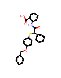 O=C(O)c1ccccc1NC(=O)C(Sc1ccc(OCc2ccccc2)cc1)c1ccccc1